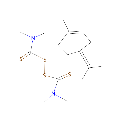 CC1=CCC(=C(C)C)CC1.CN(C)C(=S)SSC(=S)N(C)C